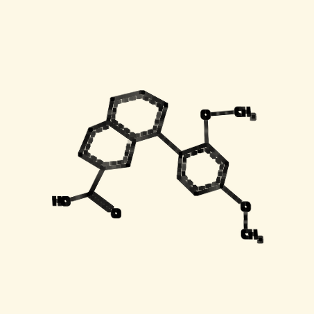 COc1ccc(-c2cccc3ccc(C(=O)O)cc23)c(OC)c1